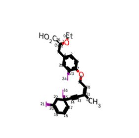 CCO[C@@H](Cc1ccc(OCC=C(C)C#CC2(I)C=CC=C(I)C2)c(I)c1)C(=O)O